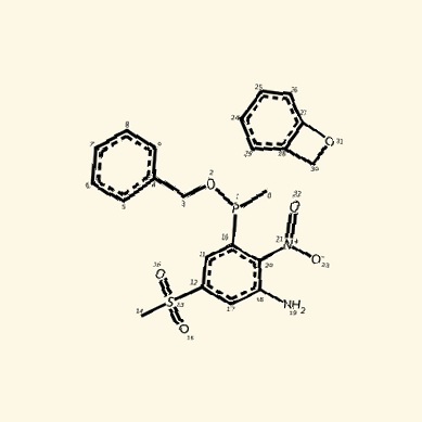 CP(OCc1ccccc1)c1cc(S(C)(=O)=O)cc(N)c1[N+](=O)[O-].c1ccc2c(c1)CO2